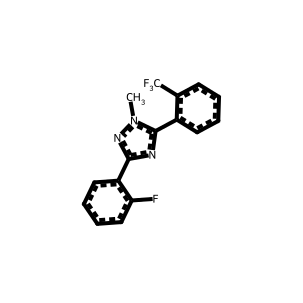 Cn1nc(-c2ccccc2F)nc1-c1ccccc1C(F)(F)F